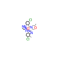 Cc1c(Cl)ccc2[nH]c([C@H]3CO[C@H](C)CN3C(=O)c3cc(Cl)ccc3-n3nccn3)nc12